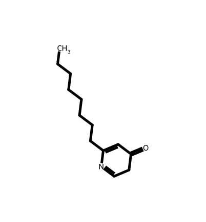 CCCCCCCCC1=CC(=O)CC=N1